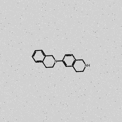 c1ccc2c(c1)CCN(c1ccc3c(c1)CCNC3)C2